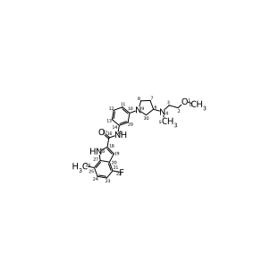 COCCN(C)C1CCN(c2cccc(NC(=O)c3cc4c(F)ccc(C)c4[nH]3)c2)C1